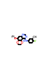 CC(C)Oc1cc2ncnc(Nc3ccc(F)c(C#N)c3)c2c2c1OCCO2